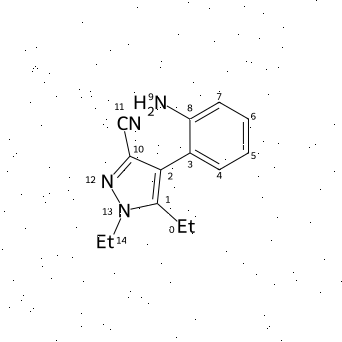 CCc1c(-c2ccccc2N)c(C#N)nn1CC